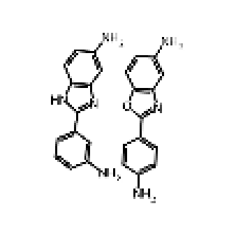 Nc1ccc(-c2nc3cc(N)ccc3o2)cc1.Nc1cccc(-c2nc3cc(N)ccc3[nH]2)c1